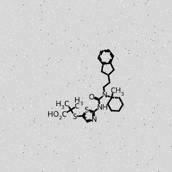 CC(C)(Sc1cnc(NC(=O)N(CCC2Cc3ccccc3C2)C2(C)CCCCC2)s1)C(=O)O